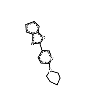 c1ccc2oc(-c3ccc(N4CCCCC4)nc3)nc2c1